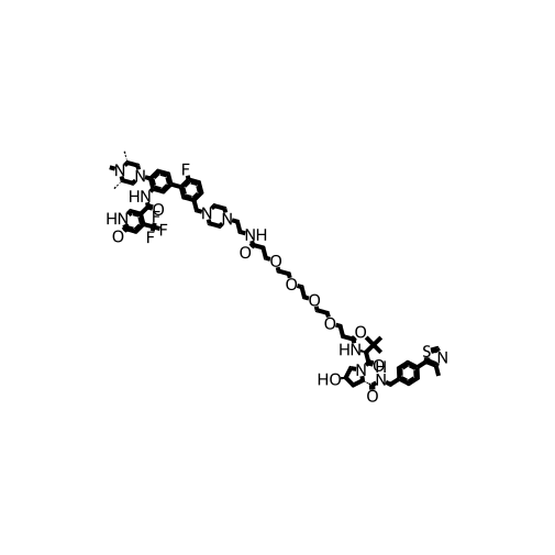 Cc1ncsc1-c1ccc(CNC(=O)[C@@H]2C[C@@H](O)CN2C(=O)[C@@H](NC(=O)CCOCCOCCOCCOCCC(=O)NCCN2CCN(Cc3ccc(F)c(-c4ccc(N5C[C@@H](C)N(C)[C@@H](C)C5)c(NC(=O)c5c[nH]c(=O)cc5C(F)(F)F)c4)c3)CC2)C(C)(C)C)cc1